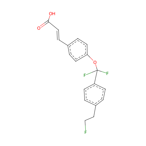 O=C(O)C=Cc1ccc(OC(F)(F)c2ccc(CCF)cc2)cc1